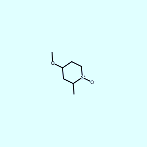 COC1CC[S+]([O-])C(C)C1